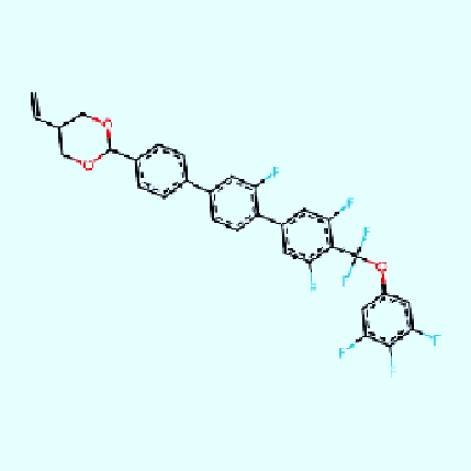 C=CC1COC(c2ccc(-c3ccc(-c4cc(F)c(C(F)(F)Oc5cc(F)c(F)c(F)c5)c(F)c4)c(F)c3)cc2)OC1